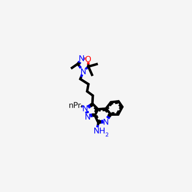 CCCn1nc2c(N)nc3ccccc3c2c1CCCCN1C(C)=NOC1(C)C